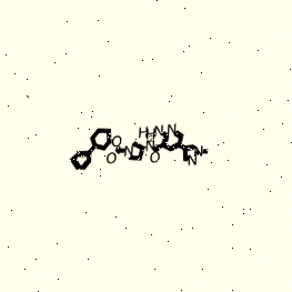 Cn1cc(-c2cnc(N)c(C(=O)N[C@@H]3CCN(C(=O)OC4CCCC(c5ccccc5)C4)C3)c2)cn1